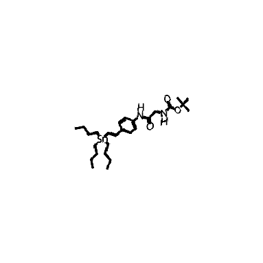 CCC[CH2][Sn](/[CH]=C/c1ccc(NC(=O)CNC(=O)OC(C)(C)C)cc1)([CH2]CCC)[CH2]CCC